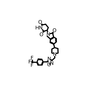 O=C1CCC(N2Cc3cc(C4CCN(Cc5noc(-c6ccc(C(F)(F)F)cc6)n5)CC4)ccc3C2=O)C(=O)N1